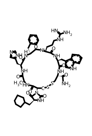 C[C@H]1NC(=O)[C@@H](N2C(=O)N[C@@H](CC3CCCCC3)C2=O)CSSC[C@@H](C(N)=O)NC(=O)[C@H](Cc2c[nH]c3ccccc23)NC(=O)[C@H](CCCNC(=N)N)NC(=O)[C@@H](Cc2ccccc2)NC(=O)[C@H](Cc2cnc[nH]2)NC1=O